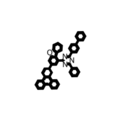 C1=CC(c2cc(-c3nc(-c4ccccc4)nc(-c4ccc(-c5ccccc5)cc4)n3)c3c(c2)oc2ccccc23)Cc2c1c1ccccc1c1ccccc21